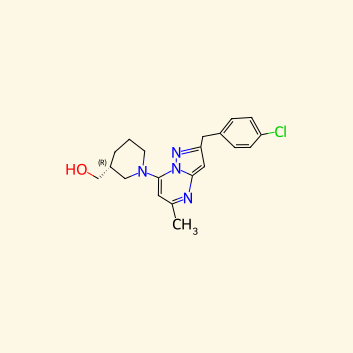 Cc1cc(N2CCC[C@@H](CO)C2)n2nc(Cc3ccc(Cl)cc3)cc2n1